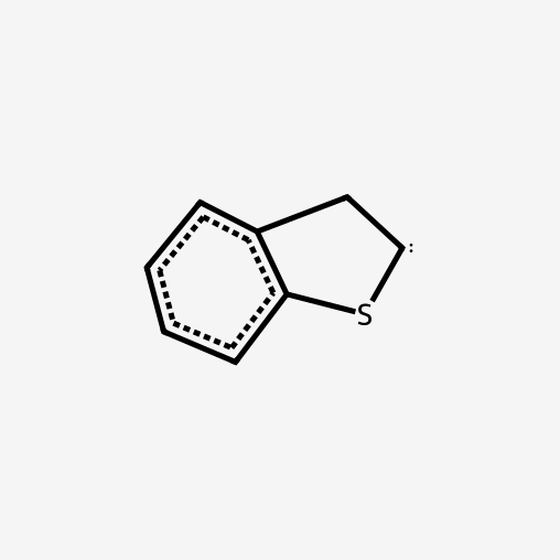 [C]1Cc2ccccc2S1